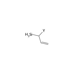 C=C[CH]([SiH3])[Y]